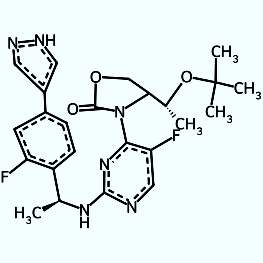 C[C@H](Nc1ncc(F)c(N2C(=O)OCC2[C@@H](C)OC(C)(C)C)n1)c1ccc(-c2cn[nH]c2)cc1F